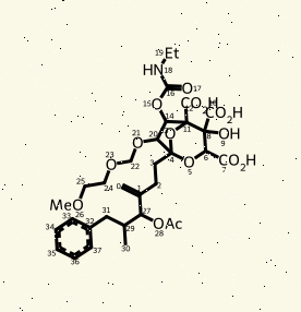 C=C(CCC12OC(C(=O)O)C(O)(C(=O)O)C(C(=O)O)(O1)C(OC(=O)NCC)C2OCOCCOC)C(OC(C)=O)C(C)Cc1ccccc1